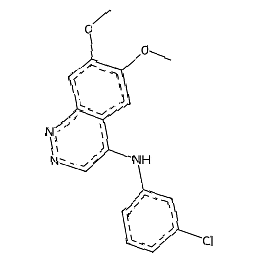 COc1cc2nncc(Nc3cccc(Cl)c3)c2cc1OC